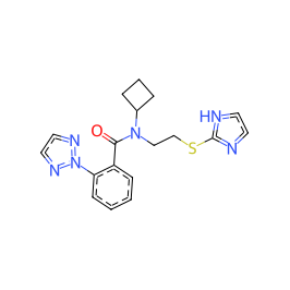 O=C(c1ccccc1-n1nccn1)N(CCSc1ncc[nH]1)C1CCC1